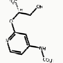 C[C@H](CO)Oc1cc(NC(=O)O)ccn1